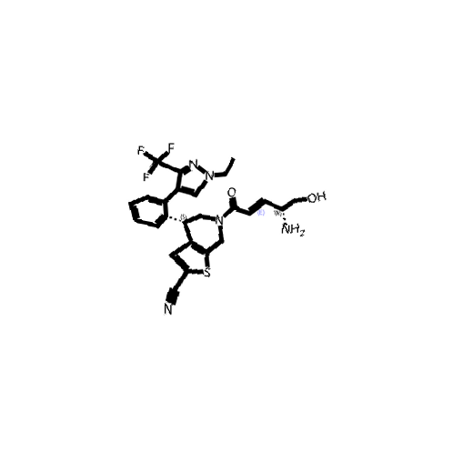 CCn1cc(-c2ccccc2[C@@H]2CN(C(=O)/C=C/[C@@H](N)CO)Cc3sc(C#N)cc32)c(C(F)(F)F)n1